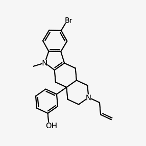 C=CCN1CCC2(c3cccc(O)c3)Cc3c(c4cc(Br)ccc4n3C)CC2C1